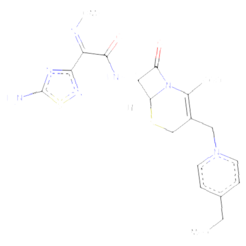 COCc1cc[n+](CC2=C(C(=O)[O-])N3C(=O)[C@@H](NC(=O)/C(=N\OC)c4nsc(N)n4)[C@@H]3SC2)cc1